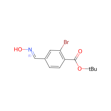 CC(C)(C)OC(=O)c1ccc(/C=N/O)cc1Br